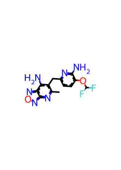 Cc1nc2nonc2c(N)c1Cc1ccc(OC(F)F)c(N)n1